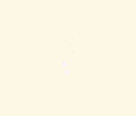 O=C(CCC(=S)N1CCN2CCCC2C1)c1ccccc1